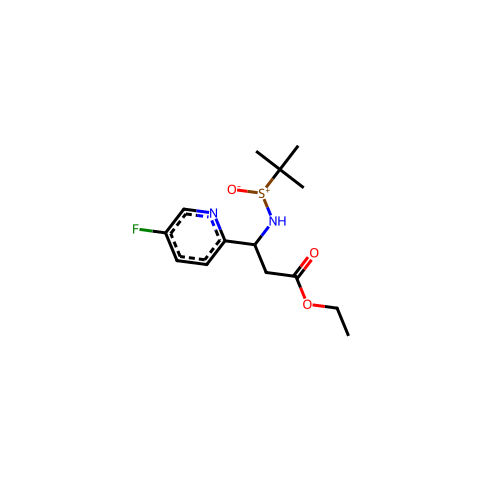 CCOC(=O)CC(N[S+]([O-])C(C)(C)C)c1ccc(F)cn1